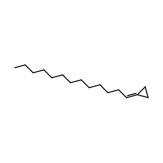 CCCCCCCCCCCCC=C1CC1